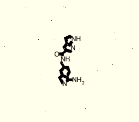 Nc1nccc2cc(CNC(=O)c3cnc4[nH]ccc4c3)ccc12